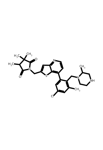 Cc1cc(Cl)cc(-c2ccnc3cc(CN4C(=O)C(C)C(C)(C)C4=O)sc23)c1CN1CCNCC1C